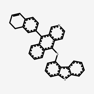 C1=Cc2ccc(-c3c4ccccc4c(Sc4cccc5sc6ccccc6c45)c4ccncc34)cc2CC1